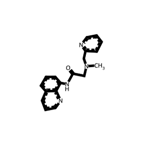 CN(CC(=O)Nc1cccc2cccnc12)Cc1ccccn1